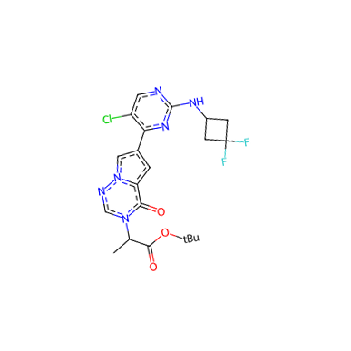 CC(C(=O)OC(C)(C)C)n1cnn2cc(-c3nc(NC4CC(F)(F)C4)ncc3Cl)cc2c1=O